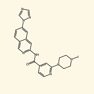 O=C(Nc1cc2cc(-n3cncn3)ccc2cn1)c1ccnc(N2CCN(I)CC2)c1